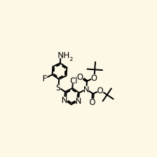 CC(C)(C)OC(=O)N(C(=O)OC(C)(C)C)c1ncnc(Sc2ccc(N)cc2F)c1Cl